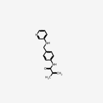 C=C(C)C(=O)Nc1ccc(CNc2cccnc2)cc1